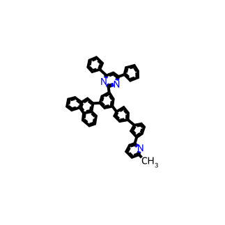 Cc1cccc(-c2cccc(-c3ccc(-c4cc(-c5nc(-c6ccccc6)cc(-c6ccccc6)n5)cc(-c5cc6ccccc6c6ccccc56)c4)cc3)c2)n1